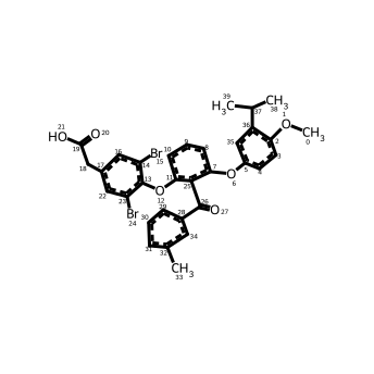 COc1ccc(Oc2cccc(Oc3c(Br)cc(CC(=O)O)cc3Br)c2C(=O)c2cccc(C)c2)cc1C(C)C